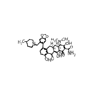 CC1CCN(Cc2cc3c(cc2-c2ccc(O)c4c2C[C@H]2C[C@H]5[C@H](N(C)C)C(O)=C(C(N)=O)C(=O)[C@@]5(O)C(O)=C2C4=O)OCO3)CC1